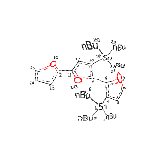 CCC[CH2][Sn]([CH2]CCC)([CH2]CCC)[c]1ccoc1-c1oc(-c2ccco2)c[c]1[Sn]([CH2]CCC)([CH2]CCC)[CH2]CCC